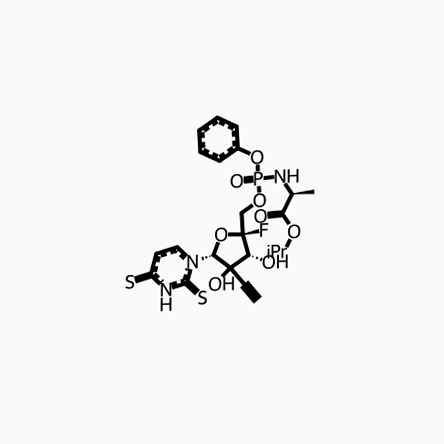 C#CC1(O)[C@@H](O)[C@@](F)(COP(=O)(N[C@@H](C)C(=O)OC(C)C)Oc2ccccc2)O[C@H]1n1ccc(=S)[nH]c1=S